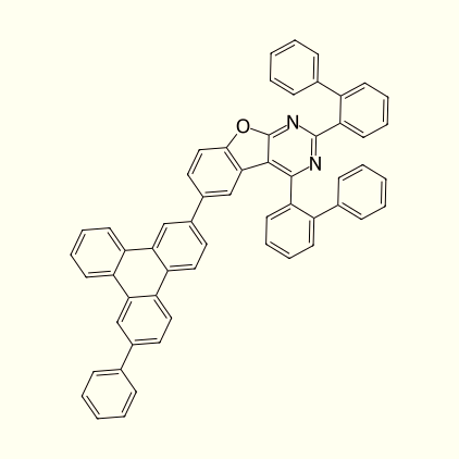 c1ccc(-c2ccc3c4ccc(-c5ccc6oc7nc(-c8ccccc8-c8ccccc8)nc(-c8ccccc8-c8ccccc8)c7c6c5)cc4c4ccccc4c3c2)cc1